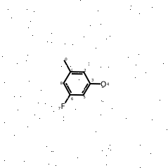 Cc1cc([O])cc(F)c1